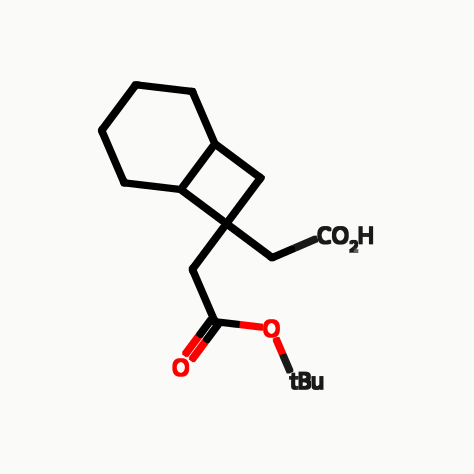 CC(C)(C)OC(=O)CC1(CC(=O)O)CC2CCCCC21